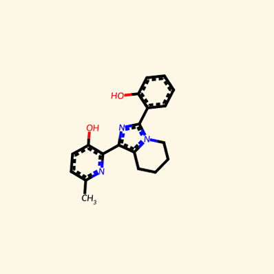 Cc1ccc(O)c(-c2nc(-c3ccccc3O)n3c2CCCC3)n1